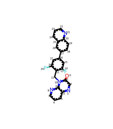 O=c1cnc2cccnc2n1Cc1c(F)cc(-c2ccc3ncccc3c2)cc1F